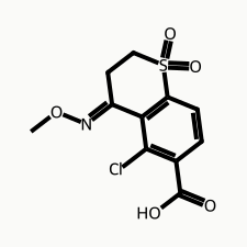 CO/N=C1\CCS(=O)(=O)c2ccc(C(=O)O)c(Cl)c21